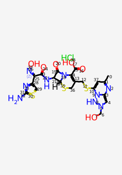 CC1=NC2=CN(CO)NN2C(SCC2=C(C(=O)O)N3C(=O)C(NC(=O)/C(=N\O)c4csc(N)n4)[C@H]3SC2)=C1.Cl